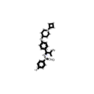 CC(C)C(C)/C(=N\N(C=O)c1ccc(F)cc1)c1ccc(OC2CCN(C3CCC3)CC2)cc1